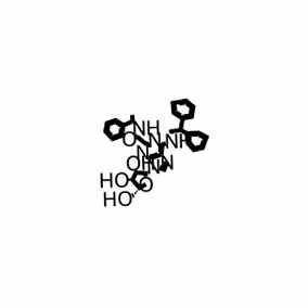 CC(NC(=O)c1nc(NCC(c2ccccc2)c2ccccc2)c2ncn([C@@H]3O[C@H](CO)[C@@H](O)[C@H]3O)c2n1)c1ccccc1